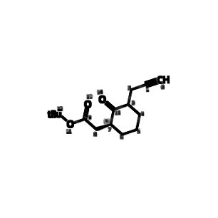 C#CCC1CCC[C@@H](CC(=O)OC(C)(C)C)C1=O